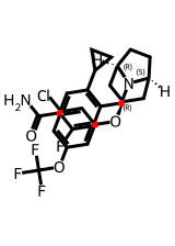 NC(=O)c1cc(C2CC2)c(CN2[C@@H]3CC[C@H]2C[C@@H](Oc2cc(Cl)cc(OC(F)(F)F)c2)C3)cc1F